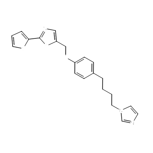 c1csc(-c2ncc(COc3ccc(CCCCn4ccnc4)cc3)s2)c1